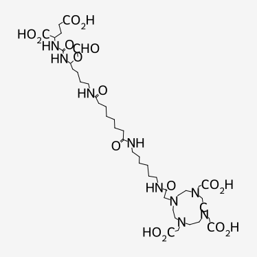 O=COC(CCCCNC(=O)CCCCCCC(=O)NCCCCCCNC(=O)CN1CCN(CC(=O)O)CCN(CC(=O)O)CCN(CC(=O)O)CC1)NC(=O)NC(CCC(=O)O)C(=O)O